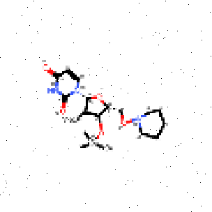 COC1C(O[Si](C)(C)C(C)(C)C)[C@@H](CON2CCCCC2)O[C@H]1n1ccc(=O)[nH]c1=O